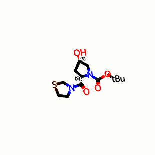 CC(C)(C)OC(=O)N1C[C@@H](O)C[C@H]1C(=O)N1CCSC1